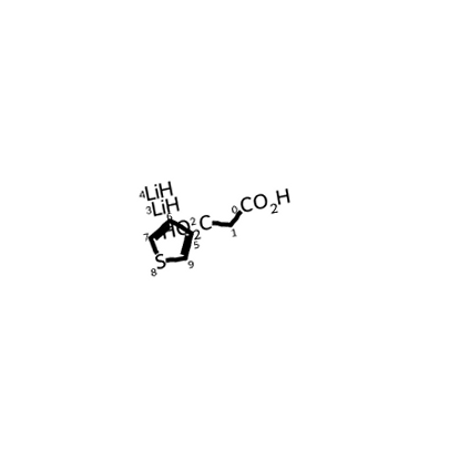 O=C(O)CC(=O)O.[LiH].[LiH].c1ccsc1